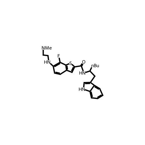 CCCCC(Cc1c[nH]c2ccccc12)NC(=O)c1cc2ccc(NCCNC)c(F)c2s1